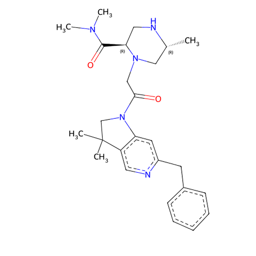 C[C@@H]1CN(CC(=O)N2CC(C)(C)c3cnc(Cc4ccccc4)cc32)[C@@H](C(=O)N(C)C)CN1